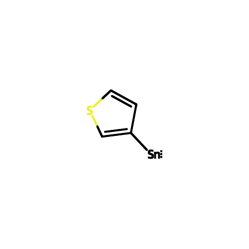 [Sn][c]1ccsc1